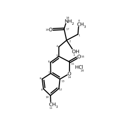 CCC(O)(Cc1cc2ccc(C)cc2oc1=O)C(N)=O.Cl